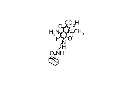 C[C@H]1COc2c(NCCCNC(=O)C34CC5CC(CC(C5)C3)C4)c(F)c(N)c3c(=O)c(C(=O)O)cn1c23